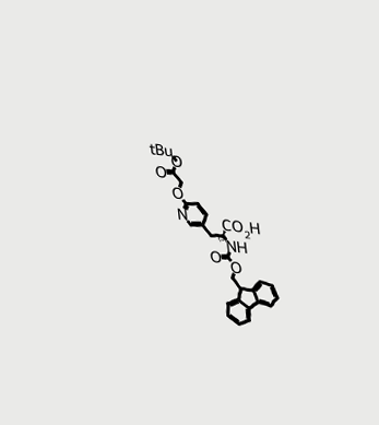 CC(C)(C)OC(=O)COc1ccc(C[C@H](NC(=O)OCC2c3ccccc3-c3ccccc32)C(=O)O)cn1